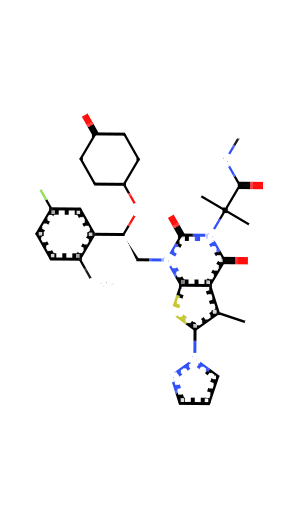 COc1ccc(F)cc1[C@H](Cn1c(=O)n(C(C)(C)C(=O)NC(C)C)c(=O)c2c(C)c(-n3cccn3)sc21)OC1CCC(=O)CC1